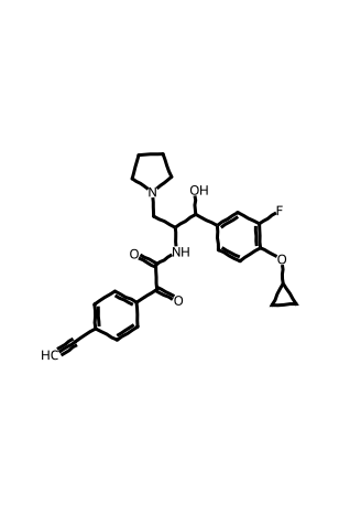 C#Cc1ccc(C(=O)C(=O)NC(CN2CCCC2)C(O)c2ccc(OC3CC3)c(F)c2)cc1